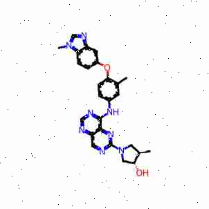 Cc1cc(Nc2ncnc3cnc(N4C[C@@H](C)[C@H](O)C4)nc23)ccc1Oc1ccc2c(c1)ncn2C